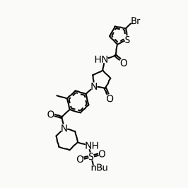 CCCCS(=O)(=O)NC1CCCN(C(=O)c2ccc(N3CC(NC(=O)c4ccc(Br)s4)CC3=O)cc2C)C1